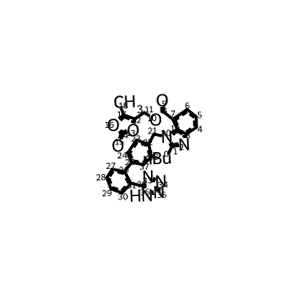 CCCCc1nc2cccc(C(=O)OCc3oc(=O)oc3C)c2n1Cc1ccc(-c2ccccc2-c2nnn[nH]2)cc1